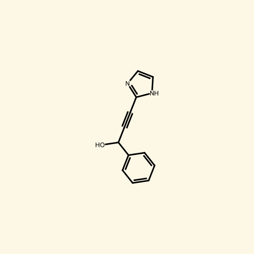 OC(C#Cc1ncc[nH]1)c1ccccc1